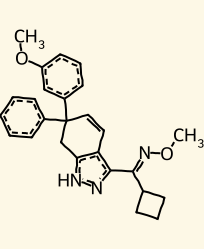 CON=C(c1n[nH]c2c1C=CC(c1ccccc1)(c1cccc(OC)c1)C2)C1CCC1